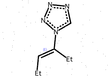 CC/C=C(\CC)n1cnnn1